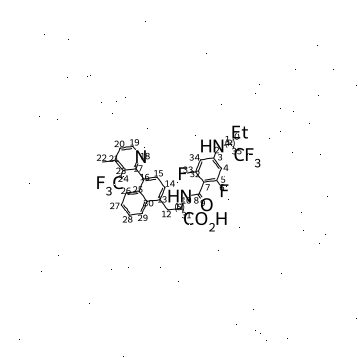 CC[C@@H](Nc1cc(F)c(C(=O)N[C@@H](Cc2ccc(-c3nccc(C)c3C(F)(F)F)c3ccccc23)C(=O)O)c(F)c1)C(F)(F)F